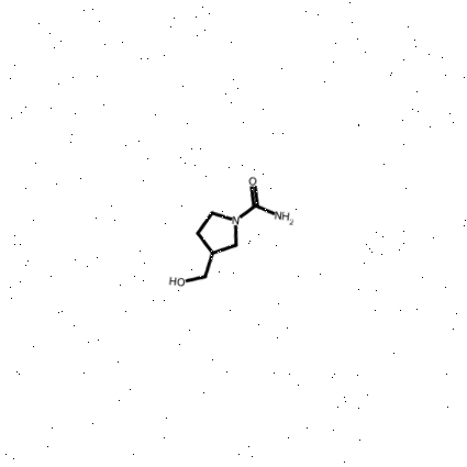 NC(=O)N1CCC(CO)C1